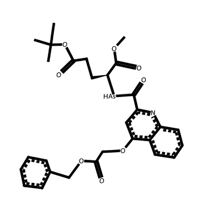 COC(=O)[C@H](CCC(=O)OC(C)(C)C)[AsH]C(=O)c1cc(OCC(=O)OCc2ccccc2)c2ccccc2n1